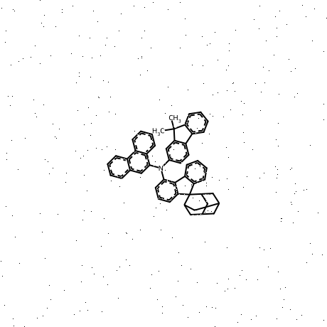 CC1(C)c2ccccc2-c2ccc(N(c3cccc4c3-c3ccccc3C43C4CC5CC(C4)CC3C5)c3cc4ccccc4c4ccccc34)cc21